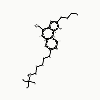 CCCCc1cc2c(N)nc3cc(CCCCCNC(C)(C)C)ccc3c2s1